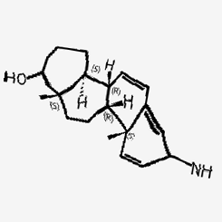 C[C@]12C=CC(N)C=C1C=C[C@@H]1[C@H]2CC[C@]2(C)C(O)CC[C@@H]12